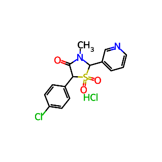 CN1C(=O)C(c2ccc(Cl)cc2)S(=O)(=O)C1c1cccnc1.Cl